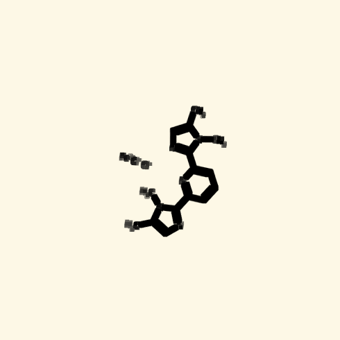 Cc1cnc(-c2cccc(-c3ncc(C)n3C)n2)n1C.[Cl-].[Cl-].[Fe+2]